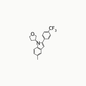 Cc1ccc2c(c1)cc(-c1ccc(C(F)(F)F)cc1)n2[C@H]1CCOC1